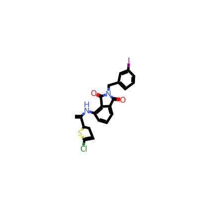 C=C(Nc1cccc2c1C(=O)N(Cc1cccc(I)c1)C2=O)C1CC=C(Cl)S1